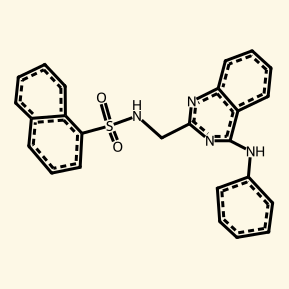 O=S(=O)(NCc1nc(Nc2ccccc2)c2ccccc2n1)c1cccc2ccccc12